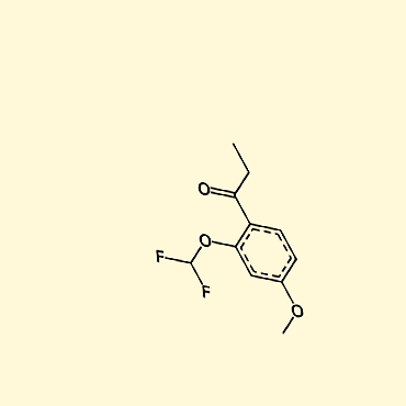 CCC(=O)c1ccc(OC)cc1OC(F)F